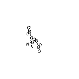 Cc1cc(OCCCC(=O)OCc2ccccc2)c2c(c1OCCCC(=O)OCc1ccccc1)SC(=C(C#N)C#N)S2